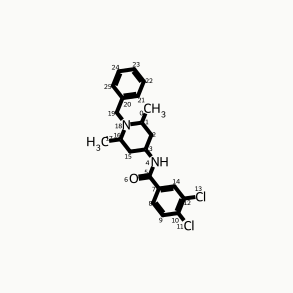 CC1CC(NC(=O)c2ccc(Cl)c(Cl)c2)CC(C)N1Cc1ccccc1